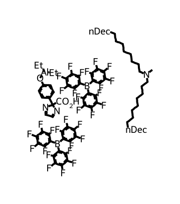 CCCCCCCCCCCCCCCCCCN(C)CCCCCCCCCCCCCCCCCC.C[CH2][Al]([CH2]C)[O]c1ccc(C2(C(=O)O)N=CC=N2)cc1.Fc1c(F)c(F)c(B(c2c(F)c(F)c(F)c(F)c2F)c2c(F)c(F)c(F)c(F)c2F)c(F)c1F.Fc1c(F)c(F)c(B(c2c(F)c(F)c(F)c(F)c2F)c2c(F)c(F)c(F)c(F)c2F)c(F)c1F